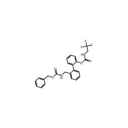 O=C(NCc1ccccc1-c1ccccc1OC(=O)NCC(F)(F)F)OCc1ccccc1